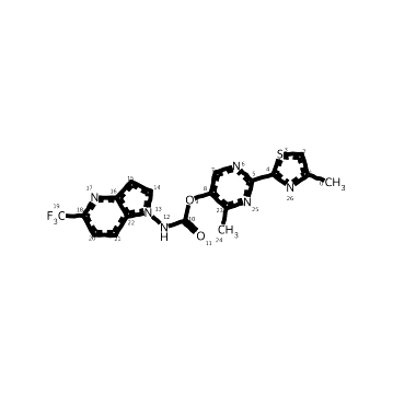 Cc1csc(-c2ncc(OC(=O)Nn3ccc4nc(C(F)(F)F)ccc43)c(C)n2)n1